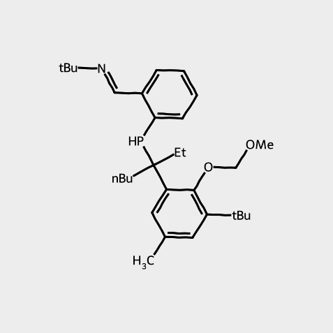 CCCCC(CC)(Pc1ccccc1/C=N/C(C)(C)C)c1cc(C)cc(C(C)(C)C)c1OCOC